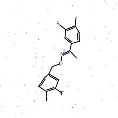 C/C(=N\OCc1ccc(C)c(F)c1)c1ccc(C)c(F)c1